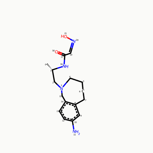 C[C@@H](CN1CCCCc2cc(N)ccc2C1)NC(=O)/C=N\O